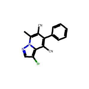 Cc1c(C#N)c(-c2ccccc2)c(C#N)c2c(Br)cnn12